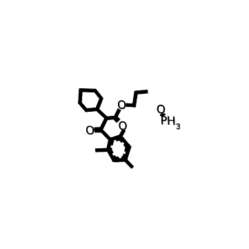 CCCOC(=O)C(C(=O)c1c(C)cc(C)cc1C)C1CCCCC1.O=[PH3]